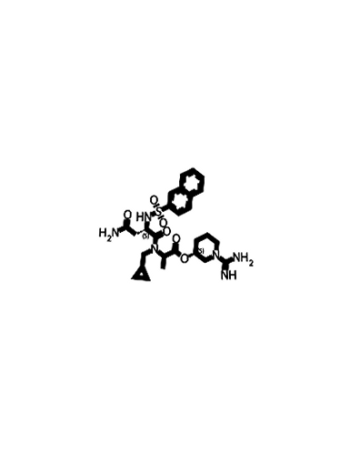 CC(C(=O)O[C@H]1CCCN(C(=N)N)C1)N(CC1CC1)C(=O)[C@H](CC(N)=O)NS(=O)(=O)c1ccc2ccccc2c1